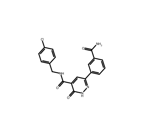 NC(=O)c1cccc(-c2cc(C(=O)NCc3ccc(Cl)cc3)c(=O)[nH]n2)c1